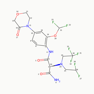 NC(=O)[C@@H](C(=O)Nc1ccc(N2CCOCC2=O)cc1OC(F)F)N(CC(F)F)CC(F)(F)F